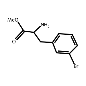 COC(=O)C(N)Cc1cccc(Br)c1